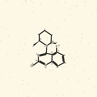 C[C@@H]1CCC[C@H](C)N1c1nc(Cl)nc2cccc(F)c12